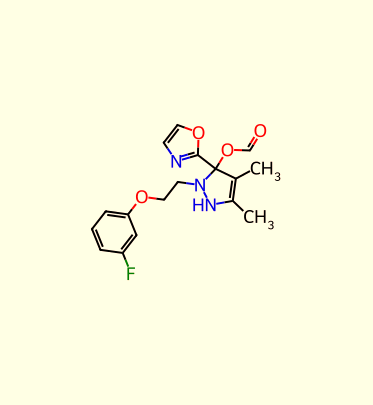 CC1=C(C)C(OC=O)(c2ncco2)N(CCOc2cccc(F)c2)N1